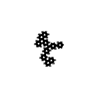 c1ccc(-c2ccc(N(c3ccc(-c4cccc(-c5cccc6ccccc56)c4)cc3)c3ccc(-c4c(-c5ccccc5)ccc5ccccc45)cc3)cc2)cc1